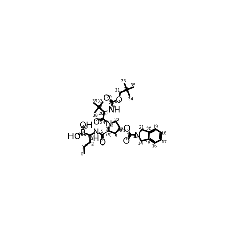 CCC[C@H](NC(=O)[C@@H]1C[C@@H](OC(=O)N2Cc3ccccc3C2)CN1C(=O)[C@@H](NC(=O)OCC(C)(C)C)C(C)(C)C)B(O)O